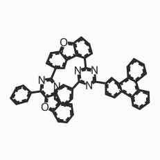 c1ccc(-c2nc(-c3ccc4c5ccccc5c5ccccc5c4c3)nc(-c3cccc4oc5ccc(-c6nc(-c7ccccc7)c7oc8ccccc8c7n6)cc5c34)n2)cc1